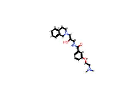 CN(C)CCOc1cccc(C(=O)NCC(O)CN2CCc3ccccc3C2)c1